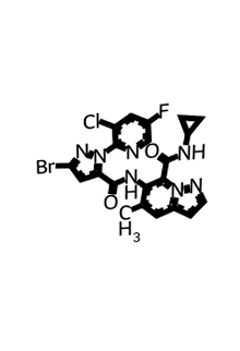 Cc1cc2ccnn2c(C(=O)NC2CC2)c1NC(=O)c1cc(Br)nn1-c1ncc(F)cc1Cl